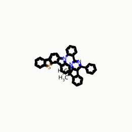 CC1(C)c2ccccc2-c2c(-c3ccccc3)nc(-c3ccccc3-n3c4ccccc4c4c5sc6ccccc6c5ccc43)nc21